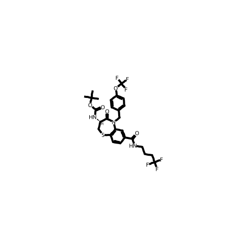 CC(C)(C)OC(=O)N[C@H]1CSc2ccc(C(=O)NCCCC(F)(F)F)cc2N(Cc2ccc(OC(F)(F)F)cc2)C1=O